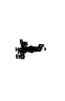 CCc1cccc(CNC[C@H](O)[C@H](Cc2cc(F)cc(F)c2)NC(=O)c2ccc(S(=O)(=O)N3CCN(c4cccc(C(F)(F)F)c4)CC3)cc2)c1